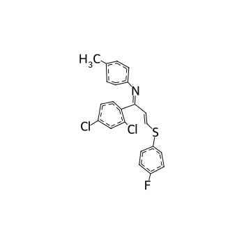 Cc1ccc(N=C(C=CSc2ccc(F)cc2)c2ccc(Cl)cc2Cl)cc1